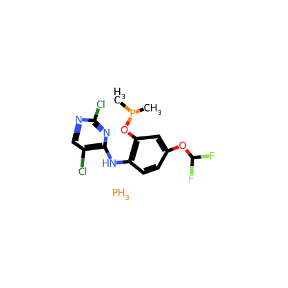 CP(C)Oc1cc(OC(F)F)ccc1Nc1nc(Cl)ncc1Cl.P